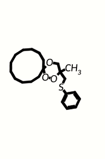 CC1(CSc2ccccc2)COC2(CCCCCCCCCCC2)OO1